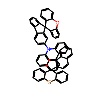 c1ccc(-c2ccccc2N(c2ccc3c(c2)C2(c4ccccc4Oc4ccccc42)c2ccccc2-3)c2cccc3c2-c2c(ccc4ccccc24)C32c3ccccc3Sc3ccccc32)cc1